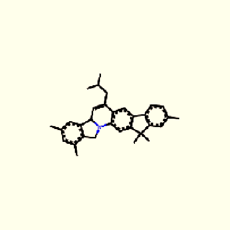 Cc1cc(C)c2c(c1)C1C=C(CC(C)C)c3cc4c(cc3N1C2)C(C)(C)c1cc(C)ccc1-4